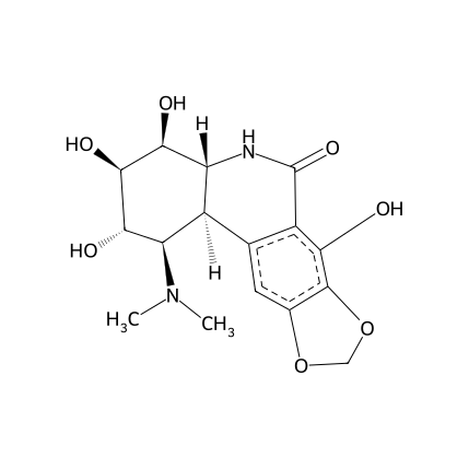 CN(C)[C@H]1[C@H](O)[C@@H](O)[C@@H](O)[C@@H]2NC(=O)c3c(cc4c(c3O)OCO4)[C@H]21